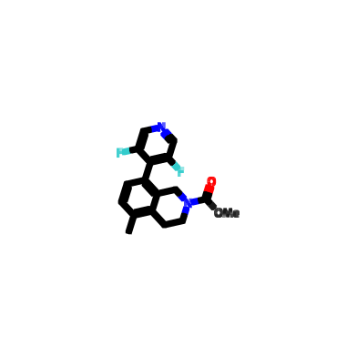 COC(=O)N1CCc2c(C)ccc(-c3c(F)cncc3F)c2C1